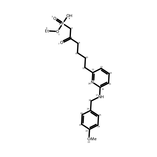 CCOP(=O)(O)CC(=O)CCCCc1cccc(NCc2ccc(OC)cc2)n1